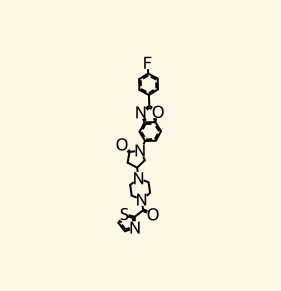 O=C(c1nccs1)N1CCN(C2CC(=O)N(c3ccc4oc(-c5ccc(F)cc5)nc4c3)C2)CC1